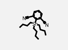 CCC[CH2][Sn]([CH2]CCC)([CH2]CCC)[c]1c(C#N)cccc1C#N